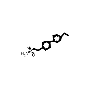 CCc1ccc(-c2ccc(CCS(N)(=O)=O)cc2)cc1